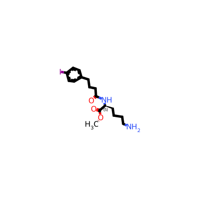 COC(=O)[C@H](CCCCN)NC(=O)CCCc1ccc(I)cc1